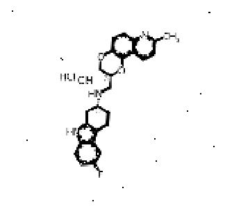 Cc1ccc2c3c(ccc2n1)OC[C@H](CN[C@@H]1CCc2c([nH]c4ccc(F)cc24)C1)O3.Cl.Cl